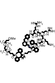 CCCC[C@H](NC(=O)c1ccccc1)C(=O)N[C@@H](CCCCN)C(=O)N[C@@H](CCCNC(=N)N)C(=O)NC(CCCNC(=N)N)C(=O)Nc1ccc2c(c1)OC1=C(/C=C/C3=[N+](CCCCn4nnc5c4-c4ccccc4CN(C(=O)CCC(=O)NC(C)(C)CCOC(C)(C)CCOC)c4ccccc4-5)c4ccccc4C3(C)C)CCCC1=C2